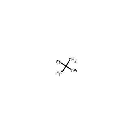 [CH2]C(CC)(CCC)C(F)(F)F